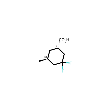 C[C@H]1C[C@H](C(=O)O)CC(F)(F)C1